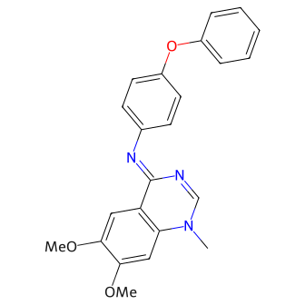 COc1cc2/c(=N/c3ccc(Oc4ccccc4)cc3)ncn(C)c2cc1OC